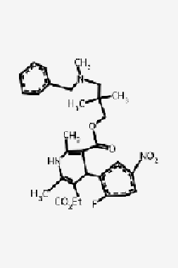 CCOC(=O)C1=C(C)NC(C)=C(C(=O)OCC(C)(C)CN(C)Cc2ccccc2)C1c1cc([N+](=O)[O-])ccc1F